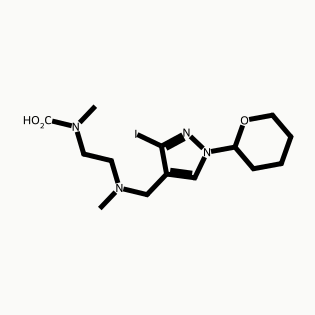 CN(CCN(C)C(=O)O)Cc1cn(C2CCCCO2)nc1I